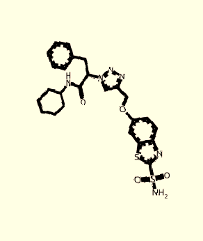 NS(=O)(=O)c1nc2ccc(OCc3cn(C(Cc4ccccc4)C(=O)NC4CCCCC4)nn3)cc2s1